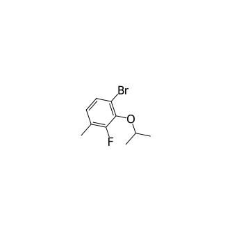 Cc1ccc(Br)c(OC(C)C)c1F